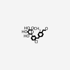 CO[C@H]1O[C@@H](c2ccc(Cl)c(Cc3ccc(CC=O)cc3)c2)[C@H](O)[C@@H](O)[C@@H]1O